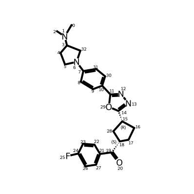 CN(C)C1CCN(c2ccc(-c3nnc([C@@H]4CC[C@H](C(=O)c5ccc(F)cc5)C4)o3)cc2)C1